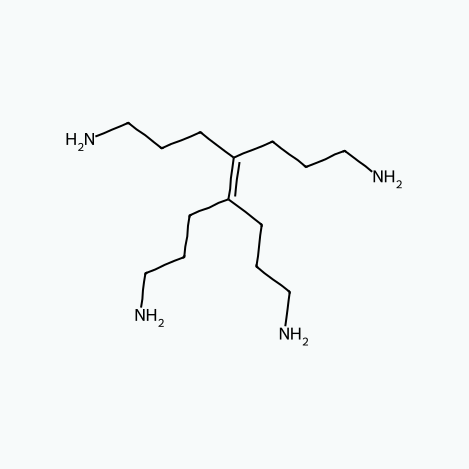 NCCCC(CCCN)=C(CCCN)CCCN